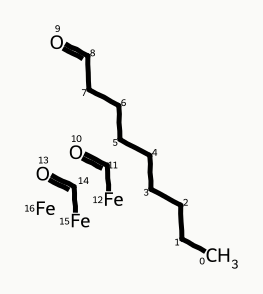 CCCCCCCCC=O.O=[CH][Fe].O=[CH][Fe].[Fe]